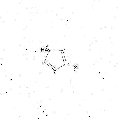 C1=C[AsH]C=C1.[Si]